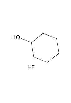 F.OC1CCCCC1